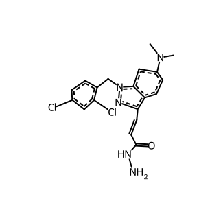 CN(C)c1ccc2c(/C=C/C(=O)NN)nn(Cc3ccc(Cl)cc3Cl)c2c1